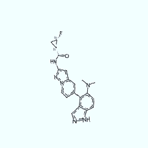 CN(C)c1ccc2[nH]ncc2c1-c1ccn2nc(NC(=O)[C@@H]3C[C@@H]3F)cc2c1